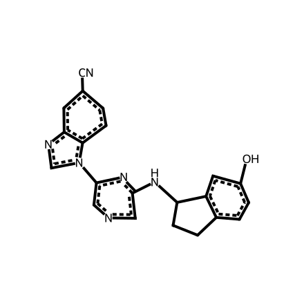 N#Cc1ccc2c(c1)ncn2-c1cncc(NC2CCc3ccc(O)cc32)n1